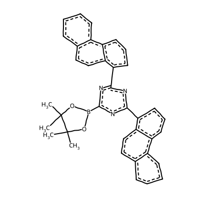 CC1(C)OB(c2nc(-c3cccc4c3ccc3ccccc34)nc(-c3cccc4c3ccc3ccccc34)n2)OC1(C)C